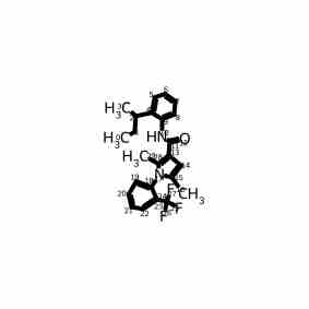 CCC(C)c1ccccc1NC(=O)c1cc(C)n(-c2ccccc2C(F)(F)F)c1C